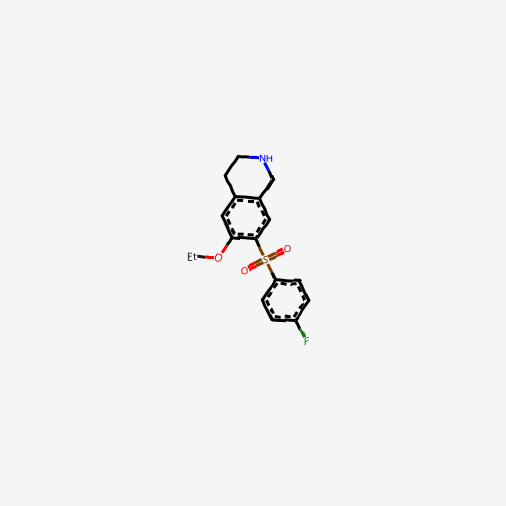 CCOc1cc2c(cc1S(=O)(=O)c1ccc(F)cc1)CNCC2